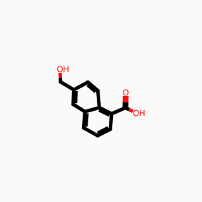 O=C(O)c1cccc2cc(CO)ccc12